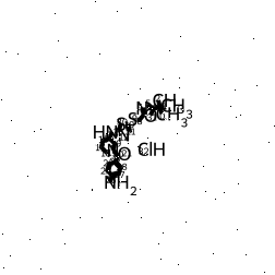 CC(C)(C)c1cnc(CSc2cnc(NC3CCCN(C(=O)c4ccc(N)cc4)C3)s2)o1.Cl